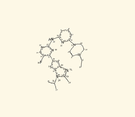 CCN1CCN(c2cccc(Nc3ncc(F)c(-c4cc5nc(C)n(C(C)C)c5s4)n3)n2)CC1